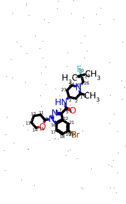 CC1CC(NC(=O)c2nn(C3CCCCO3)c3ccc(Br)cc23)CCN1CC(C)(C)F